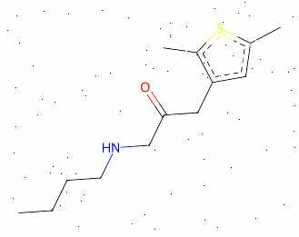 CCCCNCC(=O)Cc1cc(C)sc1C